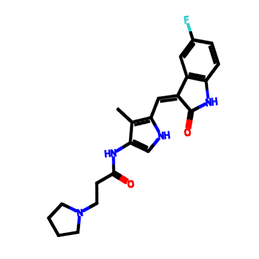 Cc1c(NC(=O)CCN2CCCC2)c[nH]c1/C=C1\C(=O)Nc2ccc(F)cc21